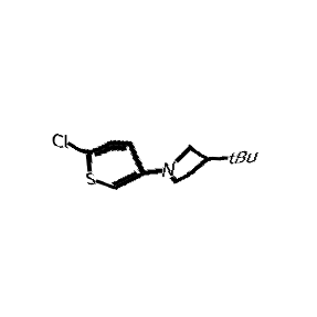 CC(C)(C)C1CN(c2csc(Cl)c2)C1